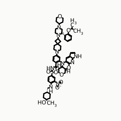 CC(C)Oc1ccccc1[C@H]1CN(C2CCOCC2)CCN1C1CC2(CCN(c3ccc(C(=O)NS(=O)(=O)c4ccc(NC[C@H]5CC[C@](C)(O)CC5)c([N+](=O)[O-])c4)c(N4c5cc6cc[nH]c6nc5O[C@H]5COCC[C@@H]54)c3)CC2)C1